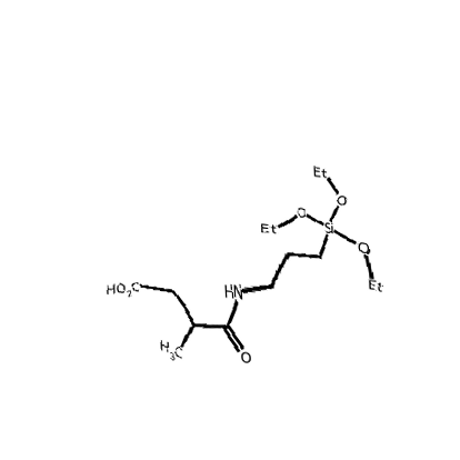 CCO[Si](CCCNC(=O)C(C)CC(=O)O)(OCC)OCC